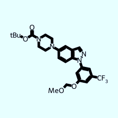 COCOc1cc(-n2ncc3cc(N4CCN(C(=O)OC(C)(C)C)CC4)ccc32)cc(C(F)(F)F)c1